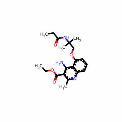 CCOC(=O)c1c(C)nc2cccc(OCC(C)(C)NC(=O)CC)c2c1N